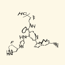 CC(C)(O)[C@H](F)CNC(=O)c1cnc(-c2ccc3cc(C#N)cnn23)cc1Nc1cnn(C2CNC[C@@H]2F)c1